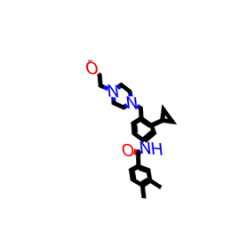 COCCN1CCN(Cc2ccc(NC(=O)c3ccc(C)c(C)c3)cc2C2CC2)CC1